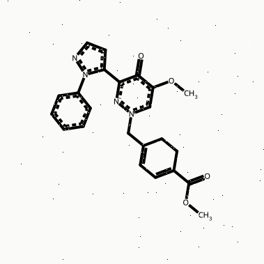 COC(=O)C1=CC=C(Cn2cc(OC)c(=O)c(-c3ccnn3-c3ccccc3)n2)CC1